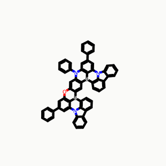 c1ccc(-c2cc3c4c(c2)-n2c5ccccc5c5cccc(c52)B4c2cc4c(cc2O3)N(c2ccccc2)c2cc(-c3ccccc3)cc3c2B4c2cccc4c5ccccc5n-3c24)cc1